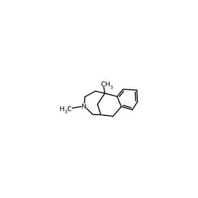 CN1CCC2(C)CC(Cc3ccccc32)C1